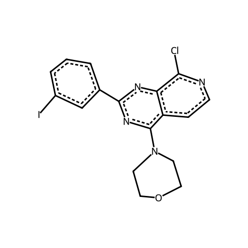 Clc1nccc2c(N3CCOCC3)nc(-c3cccc(I)c3)nc12